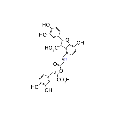 O=C(/C=C/c1ccc(O)c2c1C(C(=O)O)C(c1ccc(O)c(O)c1)O2)O[C@H](Cc1ccc(O)c(O)c1)C(=O)O